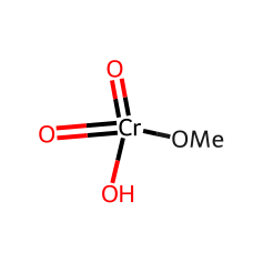 C[O][Cr](=[O])(=[O])[OH]